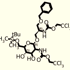 CC(C)(C)[Si](C)(C)OCC1O[C@@H](OC[C@@H](COCc2ccccc2)NC(=O)OCC(Cl)(Cl)Cl)C(NC(=O)OCC(Cl)(Cl)Cl)C(O)[C@@H]1O